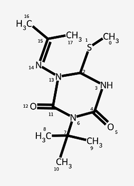 CSC1NC(=O)N(C(C)(C)C)C(=O)N1N=C(C)C